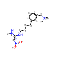 CN/C(=C/[N+](=O)[O-])NCCCCc1cccc(CN(C)C)c1